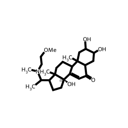 COCCN(C)C(C)C1CC[C@@]2(O)C3=CC(=O)C4CC(O)C(O)CC4(C)C3CCC12C